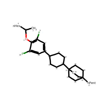 CCCCCCC(C)Oc1c(F)cc(C2CCC(C34CCC(CCCCC)(CC3)CC4)CC2)cc1F